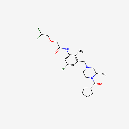 Cc1c(CN2CCN(C(=O)C3CCCC3)C(C)C2)cc(Cl)cc1NC(=O)COCC(F)F